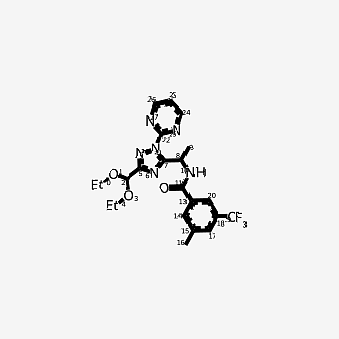 CCOC(OCC)c1nc(C(C)NC(=O)c2cc(C)cc(C(F)(F)F)c2)n(-c2ncccn2)n1